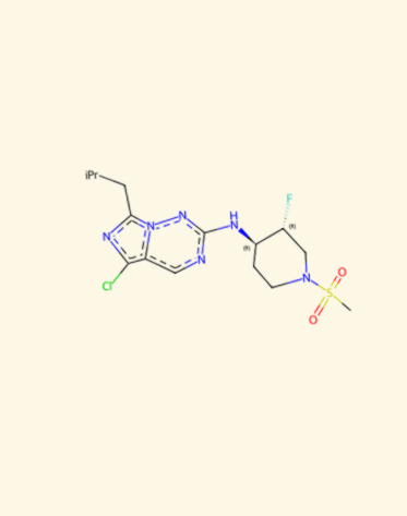 CC(C)Cc1nc(Cl)c2cnc(N[C@@H]3CCN(S(C)(=O)=O)C[C@H]3F)nn12